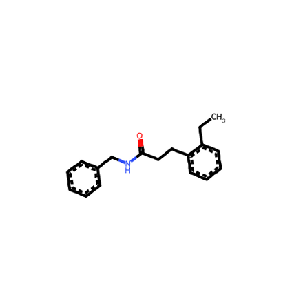 CCc1ccccc1CCC(=O)NCc1ccccc1